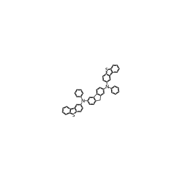 c1ccc(N(c2ccc3c(c2)Cc2ccc(N(c4ccccc4)c4ccc5sc6ccccc6c5c4)cc2-3)c2ccc3sc4ccccc4c3c2)cc1